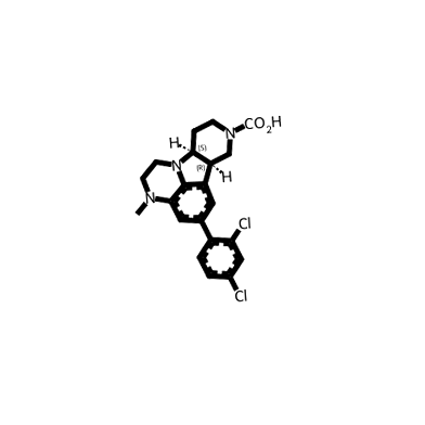 CN1CCN2c3c(cc(-c4ccc(Cl)cc4Cl)cc31)[C@@H]1CN(C(=O)O)CC[C@@H]12